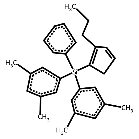 CCCC1=C([Si](c2ccccc2)(c2cc(C)cc(C)c2)c2cc(C)cc(C)c2)CC=C1